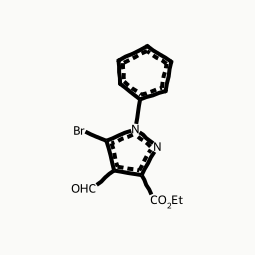 CCOC(=O)c1nn(-c2ccccc2)c(Br)c1C=O